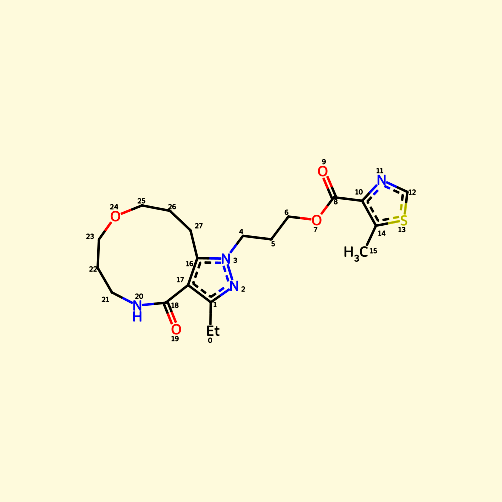 CCc1nn(CCCOC(=O)c2ncsc2C)c2c1C(=O)NCCCOCCC2